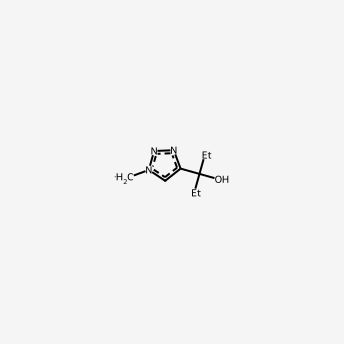 [CH2]n1cc(C(O)(CC)CC)nn1